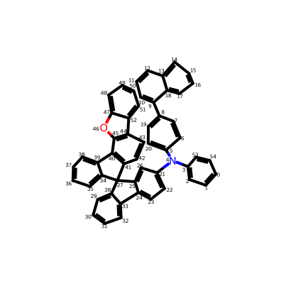 c1ccc(N(c2ccc(-c3cccc4ccccc34)cc2)c2ccc3c(c2)C2(c4ccccc4-3)c3ccccc3-c3c2ccc2c3oc3ccccc32)cc1